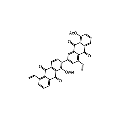 C=Cc1cc(-c2ccc3c(c2OC)C(=O)c2cccc(C=C)c2C3=O)cc2c1C(=O)c1cccc(OC(C)=O)c1C2=O